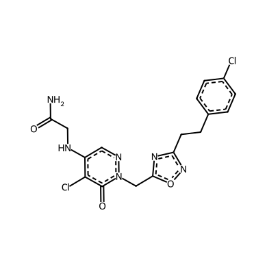 NC(=O)CNc1cnn(Cc2nc(CCc3ccc(Cl)cc3)no2)c(=O)c1Cl